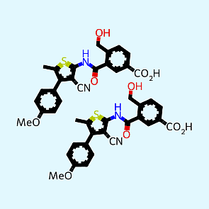 COc1ccc(-c2c(C)sc(NC(=O)c3cc(C(=O)O)ccc3CO)c2C#N)cc1.COc1ccc(-c2c(C)sc(NC(=O)c3cc(C(=O)O)ccc3CO)c2C#N)cc1